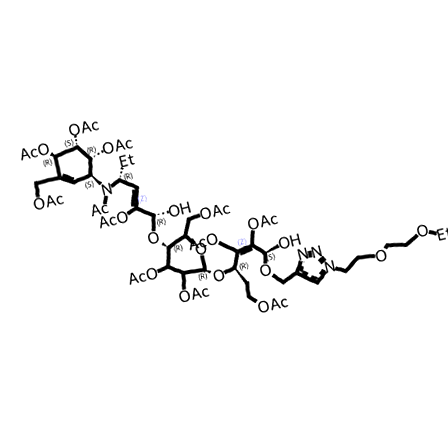 CCOCCOCCn1cc(CO[C@H](O)/C(OC(C)=O)=C(/OC(C)=O)[C@@H](CCOC(C)=O)O[C@H]2OC(COC(C)=O)[C@@H](O[C@@H](O)/C(=C/[C@@H](CC)N(C(C)=O)[C@H]3C=C(COC(C)=O)[C@@H](OC(C)=O)[C@H](OC(C)=O)[C@@H]3OC(C)=O)OC(C)=O)C(OC(C)=O)C2OC(C)=O)nn1